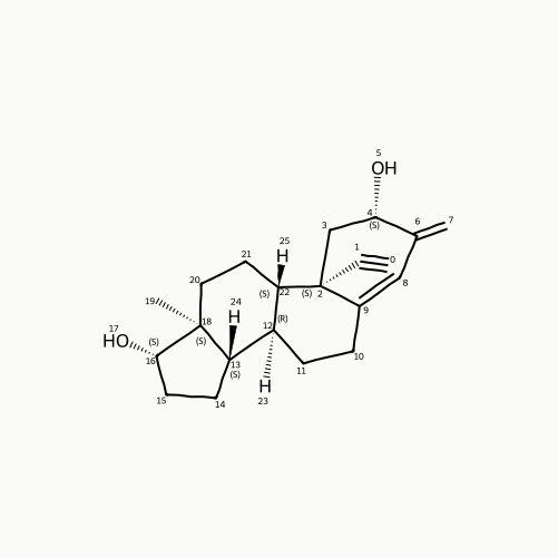 C#C[C@]12C[C@H](O)C(=C)C=C1CC[C@H]1[C@@H]3CC[C@H](O)[C@@]3(C)CC[C@@H]12